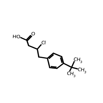 CC(C)(C)c1ccc(CC(Cl)CC(=O)O)cc1